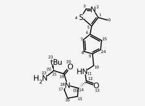 Cc1ncsc1-c1ccc(CNC(=O)[C@@H]2CCCN2C(=O)[C@@H](N)C(C)(C)C)cc1